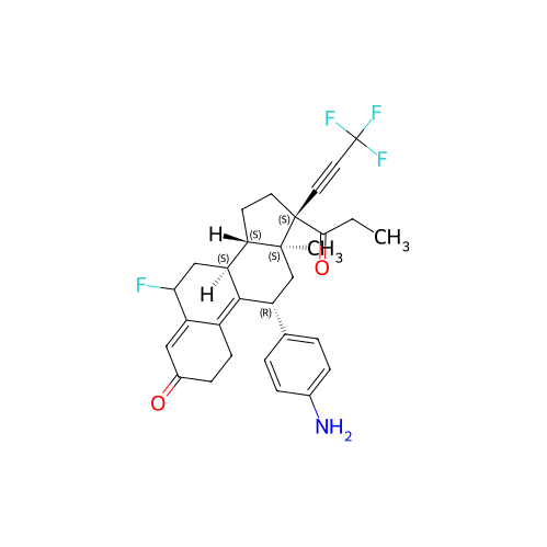 CCC(=O)[C@@]1(C#CC(F)(F)F)CC[C@H]2[C@@H]3CC(F)C4=CC(=O)CCC4=C3[C@@H](c3ccc(N)cc3)C[C@@]21C